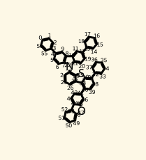 c1ccc(-c2ccc3c(c2)c2cc(-c4ccccc4)ccc2n3-c2cccc3c2sc2c(-c4ccccc4)ccc(-c4ccc5c(c4)oc4ccccc45)c23)cc1